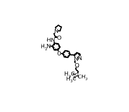 C[Si](C)(C)CCOCn1nccc1-c1ccc(Oc2ccc(NC(=O)CN3CCCC3)c(N)c2)cc1